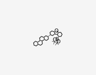 CC1(C)OB(c2cccc3oc4ccc(-c5ccc6c(ccc7c8ccccc8ccc67)c5)cc4c23)OC1(C)C